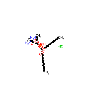 CCCCCCCCCCCCCC(=O)OC[C@H](COP(=O)(O)OCC(COC(=O)C[C@@H](C)N)OC(=O)C[C@@H](C)N)OC(=O)CCCCCCCCCCCCC.Cl.Cl